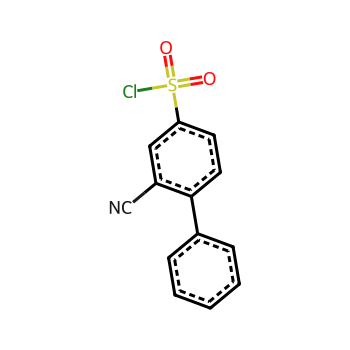 N#Cc1cc(S(=O)(=O)Cl)ccc1-c1ccccc1